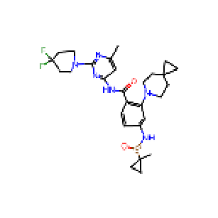 Cc1cc(NC(=O)c2ccc(N[S+]([O-])C3(C)CC3)cc2N2CCC3(CC2)CC3)nc(N2CCC(F)(F)CC2)n1